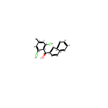 Cc1cc(Cl)c(C(=O)c2ccc3ccccc3c2)c(Cl)c1